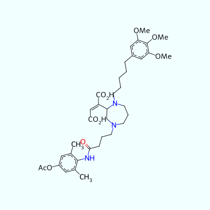 COc1cc(CCCCCN2CCCN(CCCC(=O)Nc3c(C)cc(OC(C)=O)cc3C)CC2/C(=C\C(=O)O)C(=O)O)cc(OC)c1OC